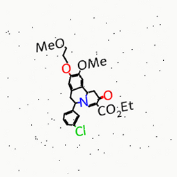 CCOC(=O)C1=CN2C(c3cccc(Cl)c3)Cc3cc(OCCCOC)c(OC)cc3C2CC1=O